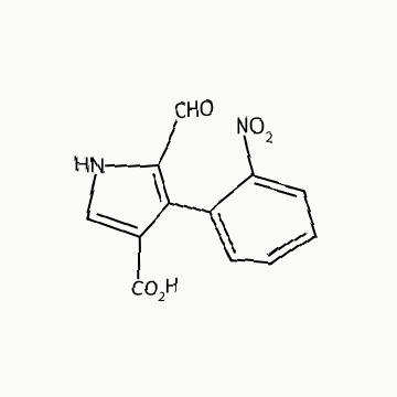 O=Cc1[nH]cc(C(=O)O)c1-c1ccccc1[N+](=O)[O-]